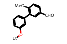 CCOc1cccc(-c2cc(C=O)ccc2OC)c1